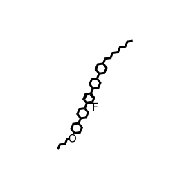 CCCCCCCCC1CCC(C2CCC(c3ccc(C4CCC(C5CCC(OCCCC)CC5)CC4)c(F)c3)CC2)CC1